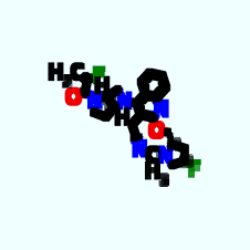 C=C(F)C(=O)N1CC[C@H]2[C@H]1CN2c1c(CC#N)c(OC[C@@H]2C[C@@H](F)CN2C)nc2ccccc12